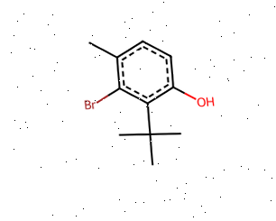 Cc1ccc(O)c(C(C)(C)C)c1Br